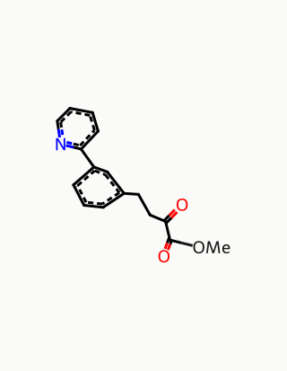 COC(=O)C(=O)CCc1cccc(-c2ccccn2)c1